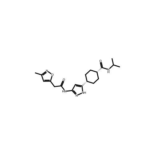 Cc1cc(CC(=O)Nc2cc([C@H]3CC[C@@H](C(=O)NC(C)C)CC3)[nH]n2)on1